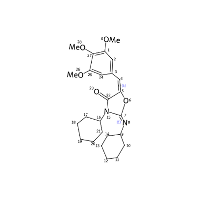 COc1cc(/C=C2/O/C(=N/C3CCCCC3)N(C3CCCCC3)C2=O)cc(OC)c1OC